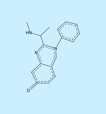 CNC(C)c1nc2cc(=O)ccc-2cn1-c1ccccc1